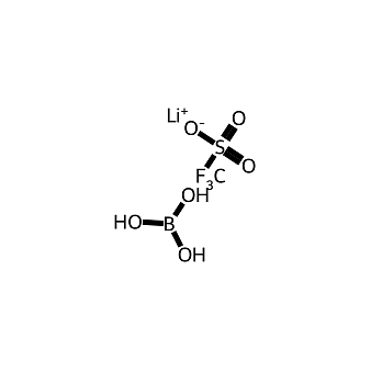 O=S(=O)([O-])C(F)(F)F.OB(O)O.[Li+]